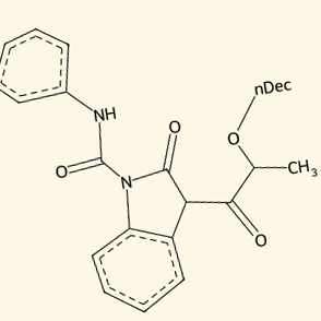 CCCCCCCCCCOC(C)C(=O)C1C(=O)N(C(=O)Nc2ccccc2)c2ccccc21